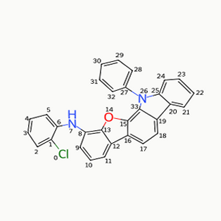 Clc1ccccc1Nc1cccc2c1oc1c2ccc2c3ccccc3n(-c3ccccc3)c21